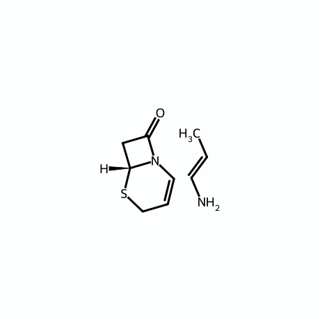 CC=CN.O=C1C[C@H]2SCC=CN12